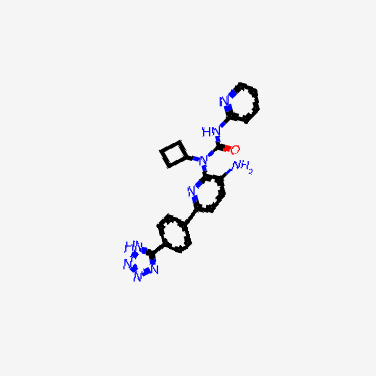 Nc1ccc(-c2ccc(-c3nnn[nH]3)cc2)nc1N(C(=O)Nc1ccccn1)C1CCC1